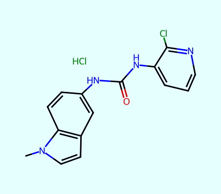 Cl.Cn1ccc2cc(NC(=O)Nc3cccnc3Cl)ccc21